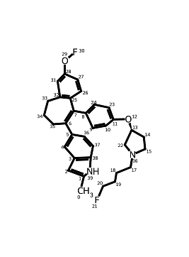 Cc1cc2cc(C3=C(c4ccc(O[C@H]5CCN(CCCCF)C5)cc4)c4ccc(OF)cc4CCC3)ccc2[nH]1